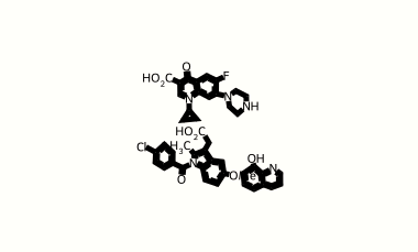 COc1ccc2c(c1)c(CC(=O)O)c(C)n2C(=O)c1ccc(Cl)cc1.O=C(O)c1cn(C2CC2)c2cc(N3CCNCC3)c(F)cc2c1=O.Oc1cccc2cccnc12